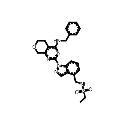 CCS(=O)(=O)NCc1cccc2c1cnn2-c1nc2c(c(NCc3ccccc3)n1)CCOC2